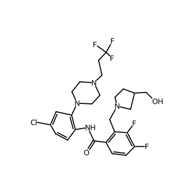 O=C(Nc1ccc(Cl)cc1N1CCN(CCC(F)(F)F)CC1)c1ccc(F)c(F)c1CN1CCC(CO)C1